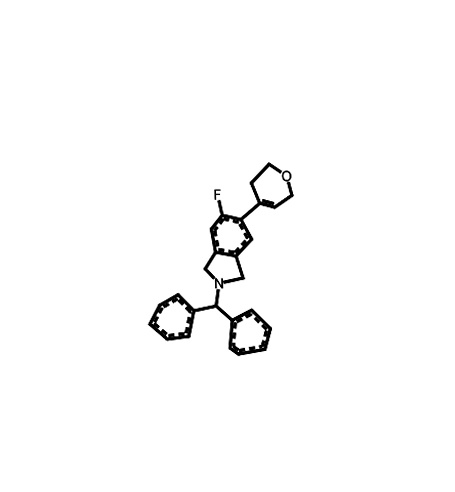 Fc1cc2c(cc1C1=CCOCC1)CN(C(c1ccccc1)c1ccccc1)C2